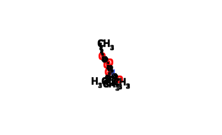 CCCCCCCOc1ccc(C(=O)Oc2ccc(CN(C(=O)c3ccc(C(C)(C)C)cc3)c3ccc(C(C)=O)cc3)cc2)cc1